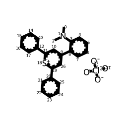 CN(C)c1ccccc1-c1cc(-c2ccccc2)[s+]c(-c2ccccc2)c1.[O-][Cl+3]([O-])([O-])[O-]